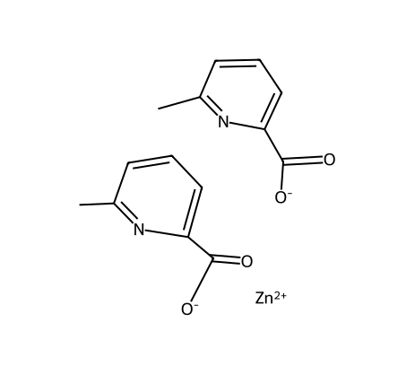 Cc1cccc(C(=O)[O-])n1.Cc1cccc(C(=O)[O-])n1.[Zn+2]